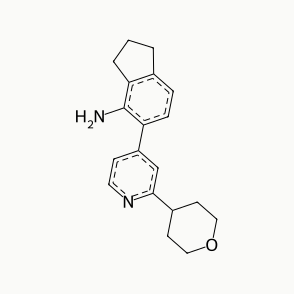 Nc1c(-c2ccnc(C3CCOCC3)c2)ccc2c1CCC2